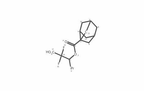 CC(C)C(OC(=O)C12CC3CC(CC1C3)C2)C(F)(F)C(=O)O